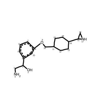 NCC(O)c1cccc(OCC2CCC(C3CN3)CC2)c1